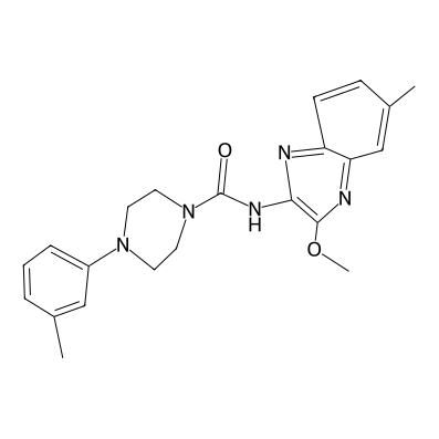 COc1nc2cc(C)ccc2nc1NC(=O)N1CCN(c2cccc(C)c2)CC1